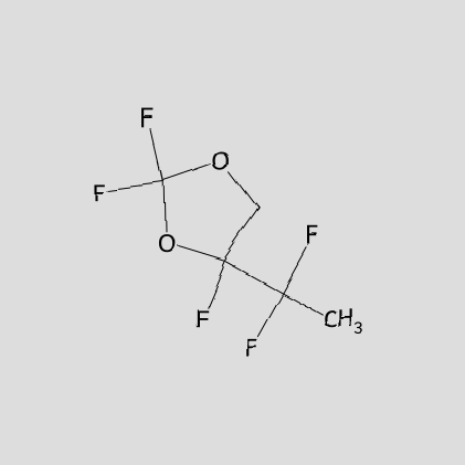 CC(F)(F)C1(F)COC(F)(F)O1